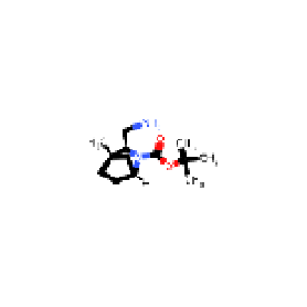 CC(C)(C)OC(=O)N1[C@@H]2CC[C@@](C)(C2)[C@H]1CN